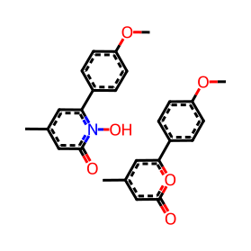 COc1ccc(-c2cc(C)cc(=O)n2O)cc1.COc1ccc(-c2cc(C)cc(=O)o2)cc1